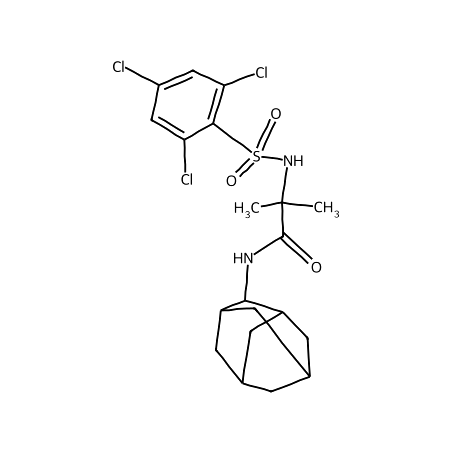 CC(C)(NS(=O)(=O)c1c(Cl)cc(Cl)cc1Cl)C(=O)NC1C2CC3CC(C2)CC1C3